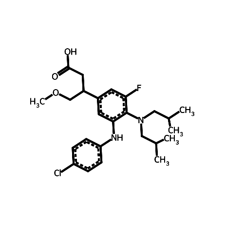 COCC(CC(=O)O)c1cc(F)c(N(CC(C)C)CC(C)C)c(Nc2ccc(Cl)cc2)c1